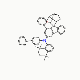 CC1(C)CCC(C)(C)c2c(N(c3ccc(-c4ccccc4)cc3)c3cc(-c4ccccc4)c4c(c3)-c3ccccc3C43C4CC5CC6CC3C64C5)cccc21